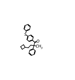 CC(CCC1CCC1)(C(=O)c1ccc(Sc2ccccc2)cc1)c1ccccc1